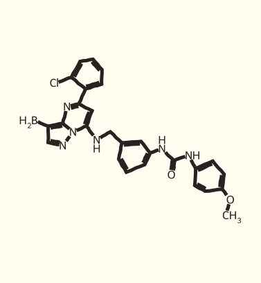 Bc1cnn2c(NCc3cccc(NC(=O)Nc4ccc(OC)cc4)c3)cc(-c3ccccc3Cl)nc12